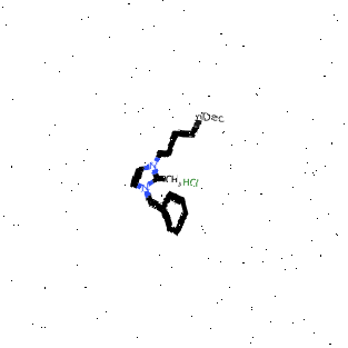 CCCCCCCCCCCCCCN1C=CN(Cc2ccccc2)C1C.Cl